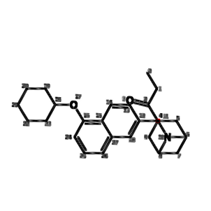 CCC(=O)C1CC2CC(C1)N2Cc1ccc2c(OC3CCCCC3)cccc2c1